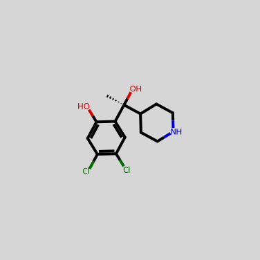 C[C@@](O)(c1cc(Cl)c(Cl)cc1O)C1CCNCC1